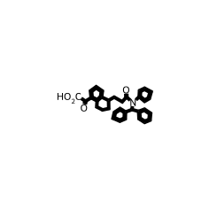 O=C(O)C(=O)c1cccc2c1CCCC2CCC(=O)N(c1ccccc1)C(c1ccccc1)c1ccccc1